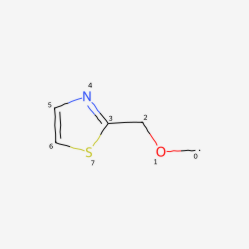 [CH2]OCc1nccs1